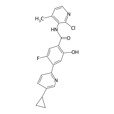 Cc1ccnc(Cl)c1NC(=O)c1cc(F)c(-c2ccc(C3CC3)cn2)cc1O